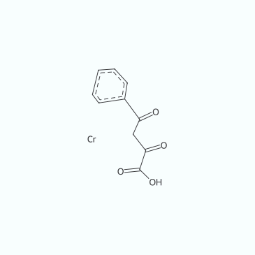 O=C(O)C(=O)CC(=O)c1ccccc1.[Cr]